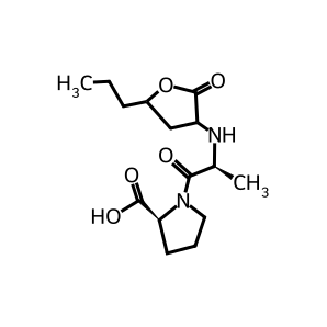 CCCC1CC(N[C@@H](C)C(=O)N2CCC[C@H]2C(=O)O)C(=O)O1